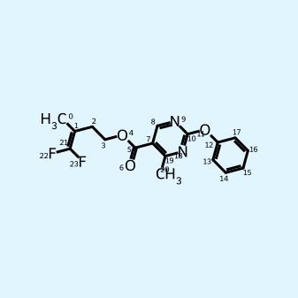 CC(CCOC(=O)c1cnc(Oc2ccccc2)nc1C)=C(F)F